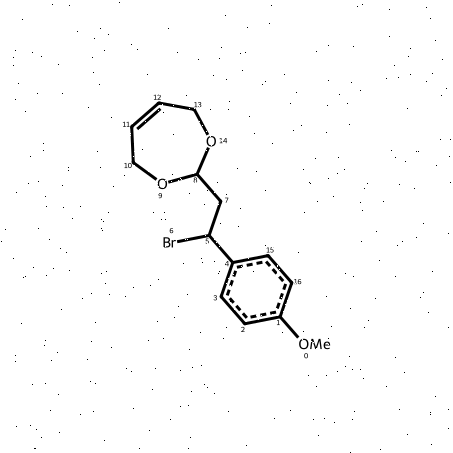 COc1ccc(C(Br)CC2OCC=CCO2)cc1